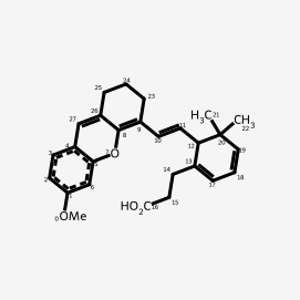 COc1ccc2c(c1)OC1=C(/C=C/C3C(CCC(=O)O)=CC=CC3(C)C)CCCC1=C2